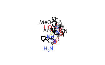 COc1c(C)cc2c(c1O)[C@H]1[C@@H]3[C@@H]4SC[C@]5(N[C@@H](CN)Cc6c5[nH]c5ccccc65)C(=O)OC[C@@H](c5c6c(c(C)c(OC(C)=O)c54)OCO6)N3[C@@H](C#N)[C@H](C2)N1C